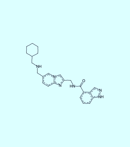 O=C(NCc1cn2cc(CNCC3CCCCC3)ccc2n1)c1cccc2[nH]ncc12